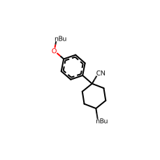 CCCCOc1ccc(C2(C#N)CCC(CCCC)CC2)cc1